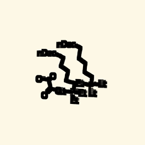 CCCCCCCCCCCCCCC[P+](CC)(CC)CC.CCCCCCCCCCCCCCC[P+](CC)(CC)CC.O=C([O-])C(=O)[O-]